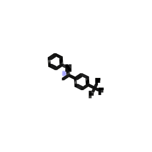 C/C(=N\c1ccccc1)c1ccc(C(F)(F)F)cc1